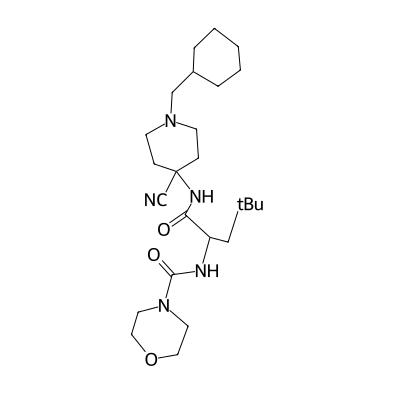 CC(C)(C)CC(NC(=O)N1CCOCC1)C(=O)NC1(C#N)CCN(CC2CCCCC2)CC1